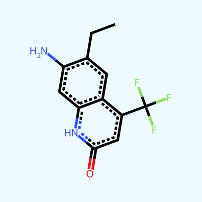 CCc1cc2c(C(F)(F)F)cc(=O)[nH]c2cc1N